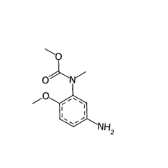 COC(=O)N(C)c1cc(N)ccc1OC